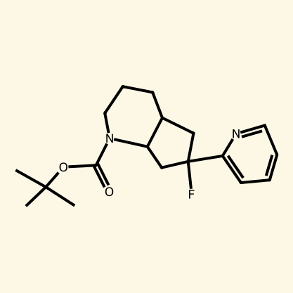 CC(C)(C)OC(=O)N1CCCC2CC(F)(c3ccccn3)CC21